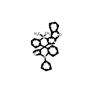 C[Si]1(C)c2ccccc2C2(c3ccccc3N(c3ccccc3)c3ccccc32)c2ccc3oc4ccccc4c3c21